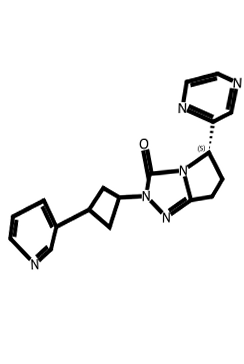 O=c1n(C2CC(c3cccnc3)C2)nc2n1[C@H](c1cnccn1)CC2